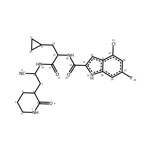 N#CC(CC1CCCNC1=O)NC(=O)C(CC1CC1)NC(=O)c1cc2c(Cl)cc(F)cc2[nH]1